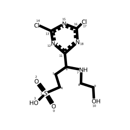 O=S(=O)(O)CCC(NCCO)c1nc(Cl)nc(Cl)n1